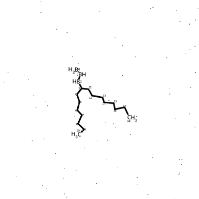 BBBC(CCCCCCC)CCCCCCCC